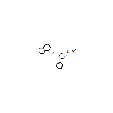 CC(C)(C)OC(=O)N1C[C@@H](OC(=O)Nc2cccc3cnccc23)[C@H](c2ccccc2)C1